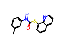 Cc1cccc(NC(=O)Sc2cccc3cccnc23)c1